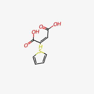 O=C(O)/C=C(\C(=O)O)[SH]1C=CC=C1